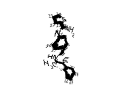 C[C@@H](NCc1ccc(N=C(N)c2cccs2)cc1)[C@@H](F)c1ccccc1